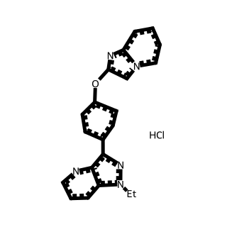 CCn1nc(-c2ccc(Oc3cn4ccccc4n3)cc2)c2ncccc21.Cl